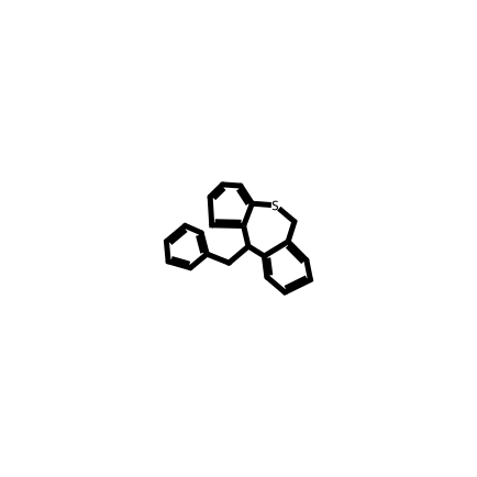 c1ccc(CC2c3ccccc3CSc3ccccc32)cc1